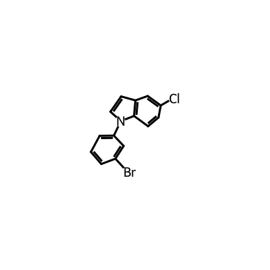 Clc1ccc2c(ccn2-c2cccc(Br)c2)c1